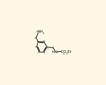 CCOC(=O)NCc1cccc(CN)c1